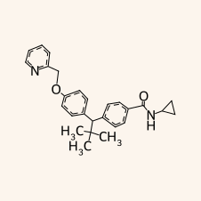 CC(C)(C)C(c1ccc(OCc2ccccn2)cc1)c1ccc(C(=O)NC2CC2)cc1